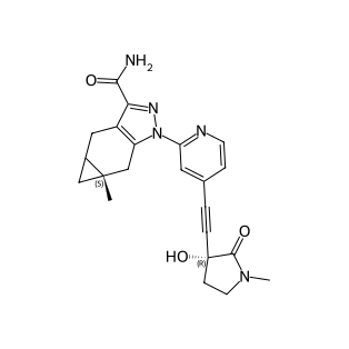 CN1CC[C@@](O)(C#Cc2ccnc(-n3nc(C(N)=O)c4c3C[C@]3(C)CC3C4)c2)C1=O